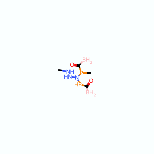 BC(=O)PN(NNC)P(C)C(B)=O